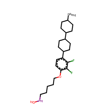 CCCCCC1CCC(C2CCC(c3ccc(OCCCCCPO)c(F)c3F)CC2)CC1